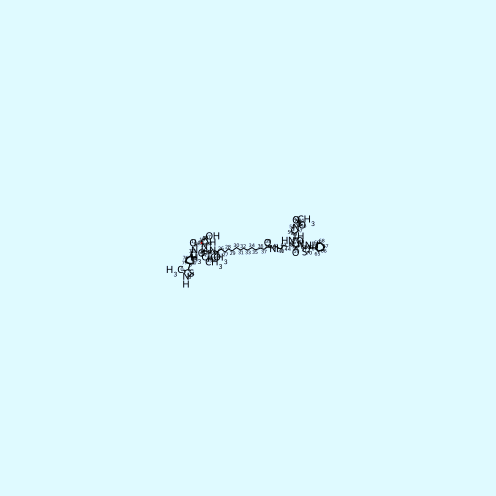 CC1NCSC1c1ccc(CNC(=O)[C@@H]2C[C@@H](O)CN2C(=O)[C@@H](NC(=O)CCCCCCCCCCCCC(=O)NCCCC[C@H](NC(=O)C2CCN(S(C)(=O)=O)C2)C(=O)NC2NC(c3ccccc3)CS2)C(C)(C)C)cc1